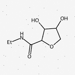 CCNC(=O)C1OCC(O)C1O